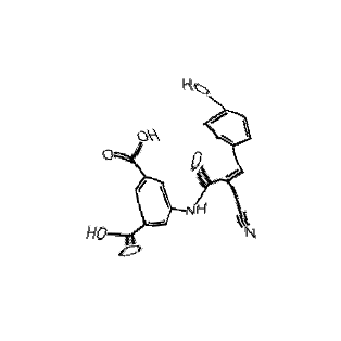 N#CC(=Cc1ccc(O)cc1)C(=O)Nc1cc(C(=O)O)cc(C(=O)O)c1